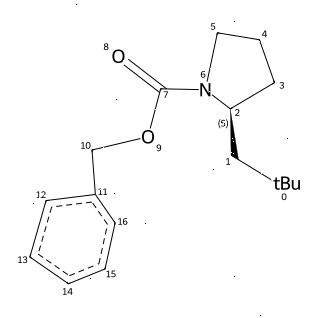 CC(C)(C)C[C@@H]1CCCN1C(=O)OCc1ccccc1